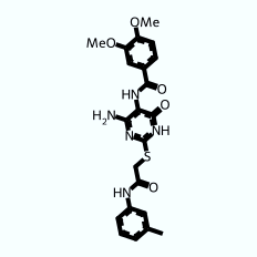 COc1ccc(C(=O)Nc2c(N)nc(SCC(=O)Nc3cccc(C)c3)[nH]c2=O)cc1OC